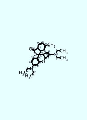 CCN(CC)C1=CC2Oc3cc(N(CC)CC)ccc3C3(OC(=O)C4C=CC(C)=CC43)C2C=C1